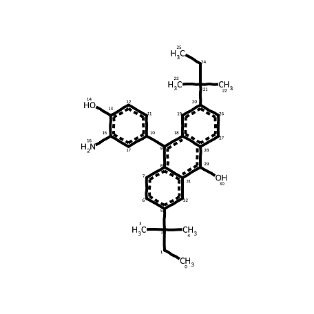 CCC(C)(C)c1ccc2c(-c3ccc(O)c(N)c3)c3cc(C(C)(C)CC)ccc3c(O)c2c1